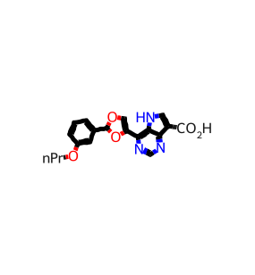 CCCOc1cccc(C2OC=C(c3ncnc4c(C(=O)O)c[nH]c34)O2)c1